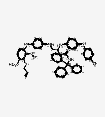 C=CCOc1c(C(=O)O)ccc(Nc2ccc(NC[C@H](CC(=O)NC(c3ccccc3)(c3ccccc3)c3ccccc3)Nc3ccc(Nc4ccc(C#N)cc4)cc3)cc2)c1OC(C)C